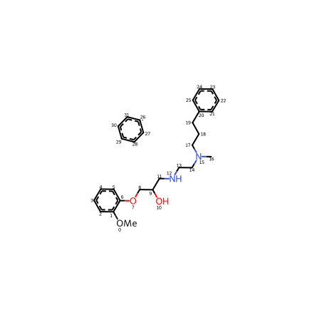 COc1ccccc1OCC(O)CNCCN(C)CCCc1ccccc1.[c]1ccccc1